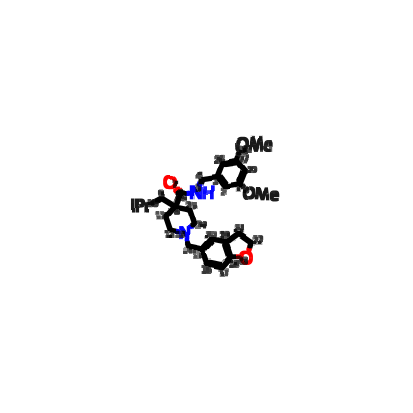 COc1cc(CNC(=O)C2(CC(C)C)CCN(Cc3ccc4c(c3)CCO4)CC2)cc(OC)c1